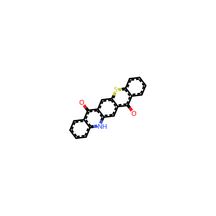 O=c1c2ccccc2[nH]c2cc3c(=O)c4ccccc4sc3cc12